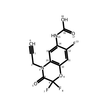 C#CCN1C(=O)C(F)(F)Oc2cc(F)c(NC(=O)O)cc21